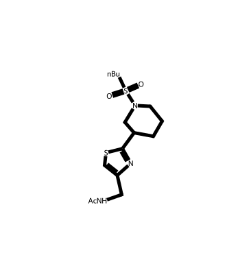 CCCCS(=O)(=O)N1CCCC(c2nc(CNC(C)=O)cs2)C1